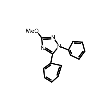 COc1nc(-c2ccccc2)n(-c2ccccc2)n1